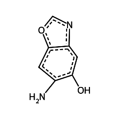 Nc1cc2ocnc2cc1O